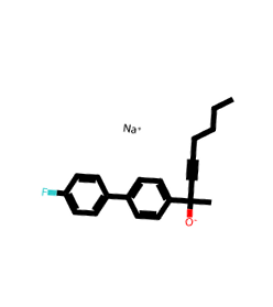 CCCCC#CC(C)([O-])c1ccc(-c2ccc(F)cc2)cc1.[Na+]